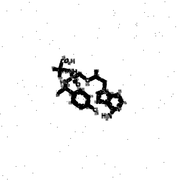 CC(Cn1cnc2c(N)ncnc21)OCP(=O)(NC(C)c1ccc(Cl)cc1)NC(C)(C)C(=O)O